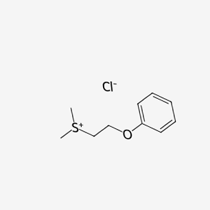 C[S+](C)CCOc1ccccc1.[Cl-]